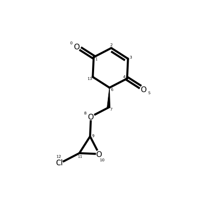 O=C1C=CC(=O)[C@@H](COC2OC2Cl)C1